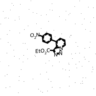 CCOC(=O)c1nnn2cccc(-c3ccc([N+](=O)[O-])cc3)c12